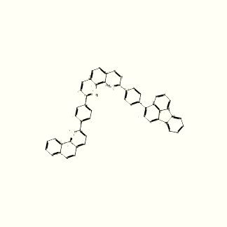 c1ccc2c(c1)-c1cccc3c(-c4ccc(-c5ccc6ccc7ccc(-c8ccc(-c9ccc%10ccc%11ccccc%11c%10n9)cc8)nc7c6n5)cc4)ccc-2c13